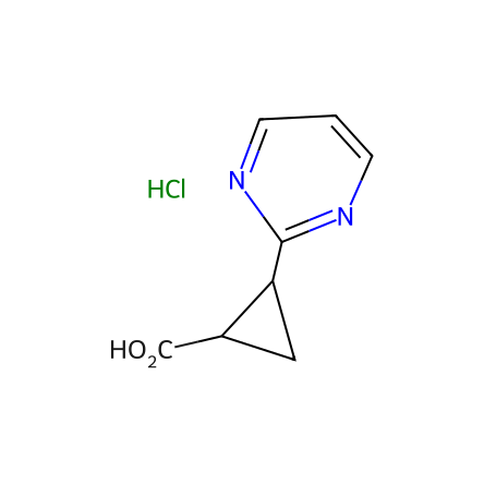 Cl.O=C(O)C1CC1c1ncccn1